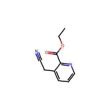 CCOC(=O)c1ncccc1CC#N